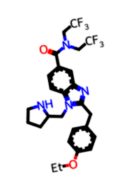 CCOc1ccc(Cc2nc3cc(C(=O)N(CC(F)(F)F)CC(F)(F)F)ccc3n2CC2CCCN2)cc1